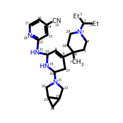 CCC(CC)N1CCC(C)(C2=CC(Nc3cc(C#N)ccn3)NC(N3CC4CC4C3)C2)CC1